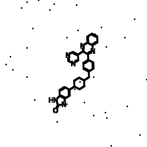 O=C1[N]c2cc(C3CCC(Cc4ccc(-c5nc6ccccc6nc5-c5cncnc5)cc4)CC3)ccc2N1